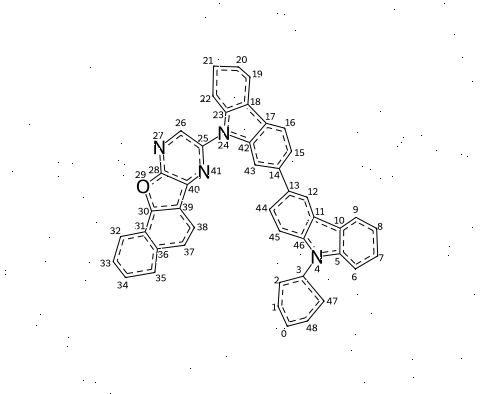 c1ccc(-n2c3ccccc3c3cc(-c4ccc5c6ccccc6n(-c6cnc7oc8c9ccccc9ccc8c7n6)c5c4)ccc32)cc1